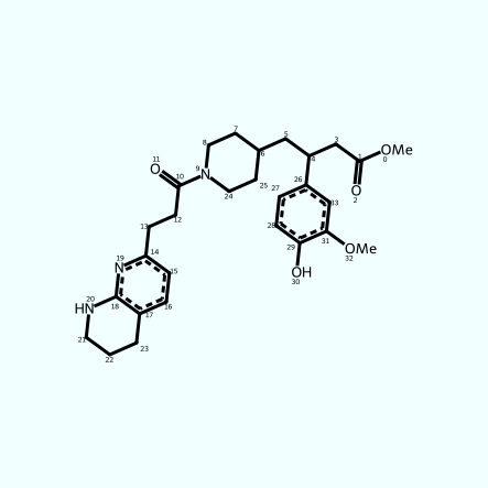 COC(=O)CC(CC1CCN(C(=O)CCc2ccc3c(n2)NCCC3)CC1)c1ccc(O)c(OC)c1